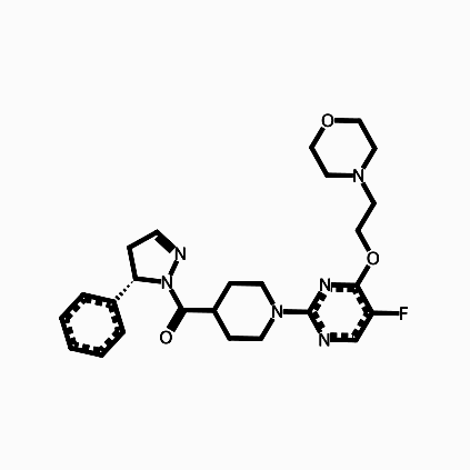 O=C(C1CCN(c2ncc(F)c(OCCN3CCOCC3)n2)CC1)N1N=CC[C@H]1c1ccccc1